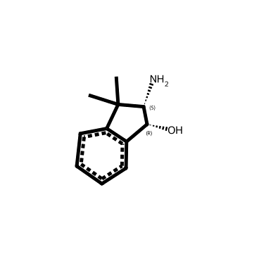 CC1(C)c2ccccc2[C@@H](O)[C@H]1N